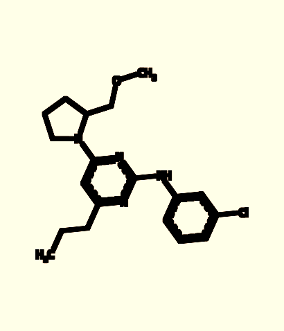 CCCc1cc(N2CCCC2COC)nc(Nc2cccc(Cl)c2)n1